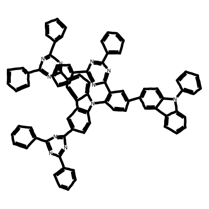 c1ccc(-c2nc(-c3ccccc3)nc(-c3ccc4c(c3)c3cc(-c5nc(-c6ccccc6)nc(-c6ccccc6)n5)ccc3n4-c3ccc(-c4ccc5c(c4)c4ccccc4n5-c4ccccc4)cc3-c3nc(-c4ccccc4)nc(-c4ccccc4)n3)n2)cc1